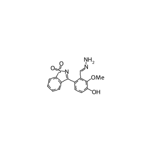 COc1c(O)ccc(C2=NS(=O)(=O)c3ccccc32)c1C=NN